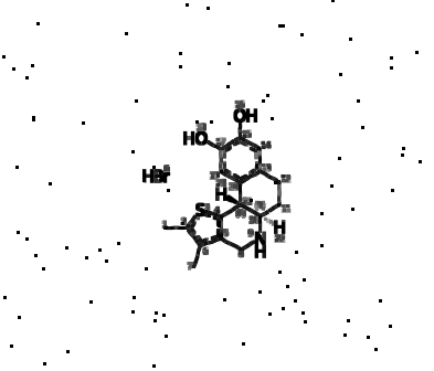 Br.Cc1sc2c(c1C)CN[C@@H]1CCc3cc(O)c(O)cc3[C@@H]21